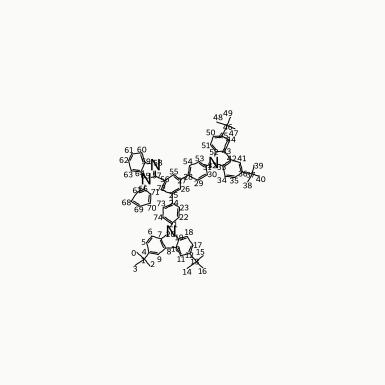 CC(C)(C)c1ccc2c(c1)c1cc(C(C)(C)C)ccc1n2-c1ccc(-c2cc(-c3ccc(-n4c5ccc(C(C)(C)C)cc5c5cc(C(C)(C)C)ccc54)cc3)cc(-c3nc4ccccc4n3-c3ccccc3)c2)cc1